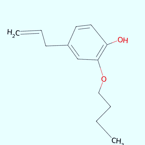 C=CCc1ccc(O)c(OCCCC)c1